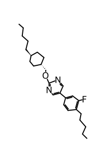 CCCCCc1ccc(-c2cnc(OC[C@H]3CC[C@H](CCCCC)CC3)nc2)cc1F